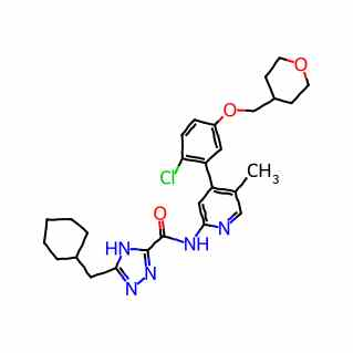 Cc1cnc(NC(=O)c2nnc(CC3CCCCC3)[nH]2)cc1-c1cc(OCC2CCOCC2)ccc1Cl